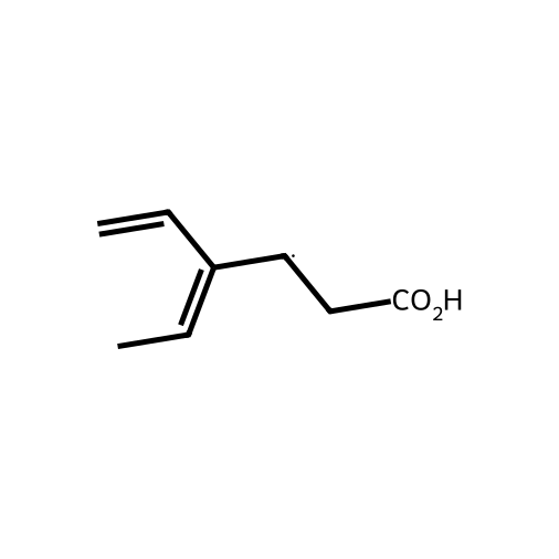 C=CC([CH]CC(=O)O)=CC